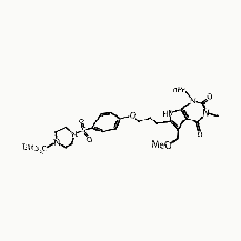 CCCn1c(=O)n(C)c(=O)c2c(COC)c(CCCOc3ccc(S(=O)(=O)N4CCN(C(=O)OCC)CC4)cc3)[nH]c21